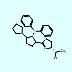 CC(C)[C@H]1COC(C2CCC(C3CCCC3)[C@@H]2P(c2ccccc2)c2ccccc2)=N1